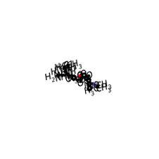 CC[C@@]1(OC(=O)OCc2ccc(NC(=O)[C@H](CCCNC(=N)N)NC(=O)[C@@H](NC(C)C)C(C)C)cc2)C(=O)OCc2c1cc1n(c2=O)Cc2c-1nc1ccccc1c2/C=N/OC(C)(C)C